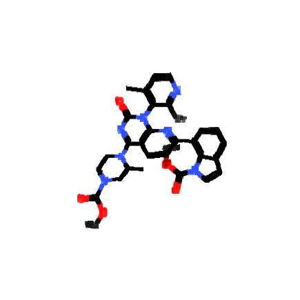 Cc1ccnc(C(C)C)c1-n1c(=O)nc(N2CCN(C(=O)OC(C)(C)C)CC2C)c2cc(F)c(-c3cccc4ccn(C(=O)OC(C)(C)C)c34)nc21